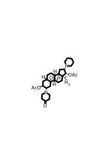 CC(=O)O[C@H]1C[C@@H]2CC[C@@H]3[C@H](CC[C@@]4(C)[C@H]3C[C@H](N3CCCCC3)[C@@H]4OC(C)=O)[C@@]2(C)C[C@@H]1N1CCC(=O)CC1